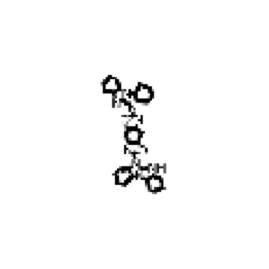 c1ccc2c(c1)NC1N(c3nc4cc5oc(-n6c7ccccc7n7c8ccccc8nc67)nc5cc4o3)c3ccccc3N21